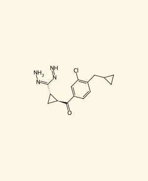 N=N/C(=N\N)[C@H]1C[C@@H]1C(=O)c1ccc(CC2CC2)c(Cl)c1